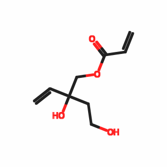 C=CC(=O)OCC(O)(C=C)CCO